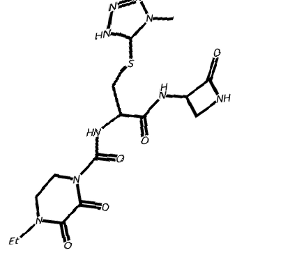 CCN1CCN(C(=O)NC(CSC2NN=NN2C)C(=O)NC2CNC2=O)C(=O)C1=O